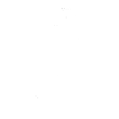 COc1cccc2c1S(O)(O)C(C)C(c1ccc(OCCCN3CCCC3)cc1)O2